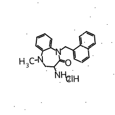 CN1CC(N)C(=O)N(Cc2cccc3ccccc23)c2ccccc21.Cl